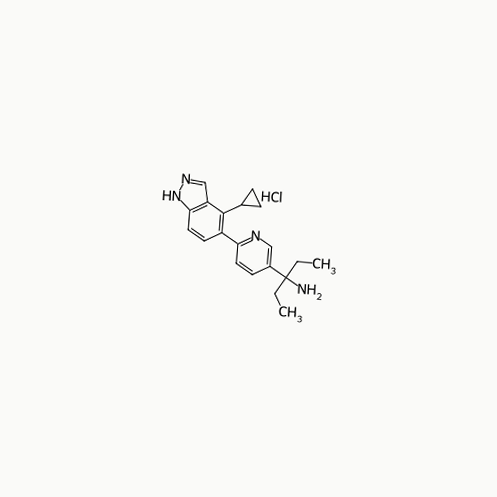 CCC(N)(CC)c1ccc(-c2ccc3[nH]ncc3c2C2CC2)nc1.Cl